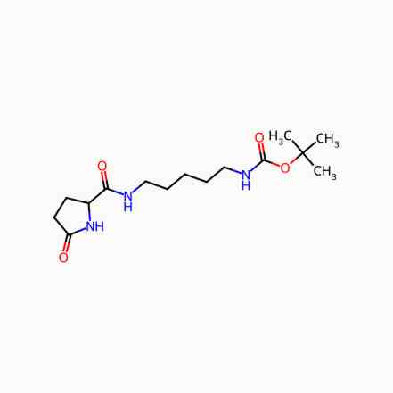 CC(C)(C)OC(=O)NCCCCCNC(=O)C1CCC(=O)N1